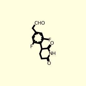 O=CCc1cc(F)c(C2CCC(=O)NC2=O)c(F)c1